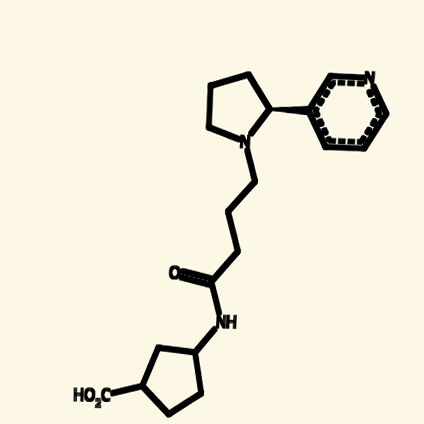 O=C(CCCN1CCC[C@H]1c1cccnc1)NC1CCC(C(=O)O)C1